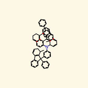 CC1CC=CC2=C1C(c1ccccc1)(c1cccc(N(c3ccccc3-c3cccc4cccc(C5=CC=CCC5)c34)C3C=CC=CC3(C)c3ccc(-c4ccccc4)cc3)c1)c1ccccc12